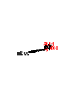 CCCCCCCCCCCCCCCCCCCCCCc1cc(=O)c2c(O)c(C)c(O)c(C)c2o1